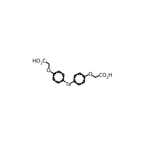 O=C(O)COc1ccc([Te]c2ccc(OCC(=O)O)cc2)cc1